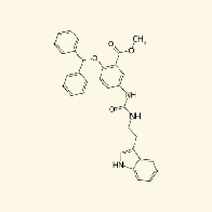 COC(=O)c1cc(NC(=O)NCCc2c[nH]c3ccccc23)ccc1OC(c1ccccc1)c1ccccc1